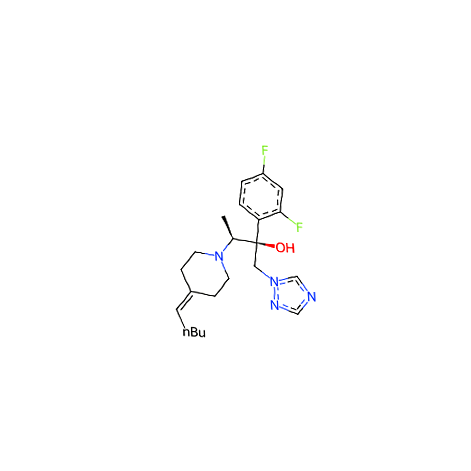 CCCCC=C1CCN([C@@H](C)[C@@](O)(Cn2cncn2)c2ccc(F)cc2F)CC1